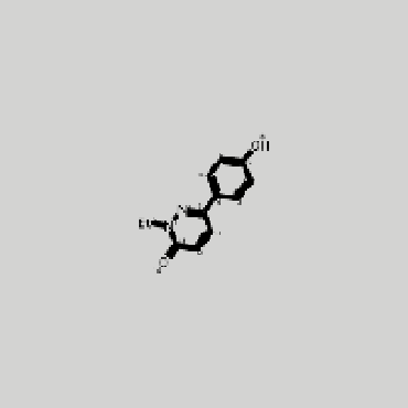 CCn1nc(-c2ccc(O)cc2)ccc1=O